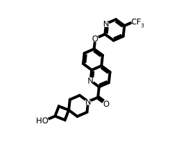 O=C(c1ccc2cc(Oc3ccc(C(F)(F)F)cn3)ccc2n1)N1CCC2(CC1)CC(O)C2